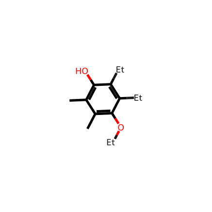 CCOc1c(C)c(C)c(O)c(CC)c1CC